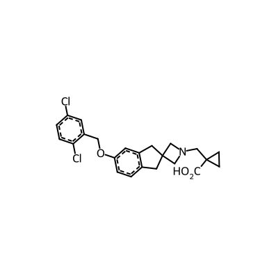 O=C(O)C1(CN2CC3(Cc4ccc(OCc5cc(Cl)ccc5Cl)cc4C3)C2)CC1